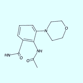 CC(=O)Nc1c(C([NH])=O)cccc1N1CCOCC1